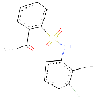 COC(=O)c1ccccc1S(=O)(=O)Nc1cccc(Cl)c1C